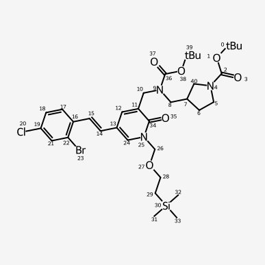 CC(C)(C)OC(=O)N1CCC(CN(Cc2cc(/C=C/c3ccc(Cl)cc3Br)cn(COCC[Si](C)(C)C)c2=O)C(=O)OC(C)(C)C)C1